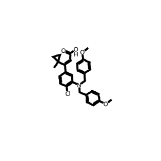 COc1ccc(CN(Cc2ccc(OC)cc2)c2cc(C(=CC(=O)O)C3(C)CC3)ccc2Cl)cc1